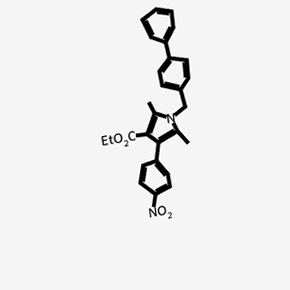 CCOC(=O)c1c(-c2ccc([N+](=O)[O-])cc2)c(C)n(Cc2ccc(-c3ccccc3)cc2)c1C